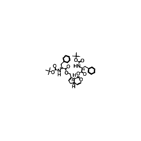 CC(C)(C)OC(=O)N[C@@H](Cc1ccccc1)C(=O)OCC1=CC[C@@H]2C=CO[C@@H](OC(=O)[C@H](Cc3ccccc3)NC(=O)OC(C)(C)C)[C@H]12